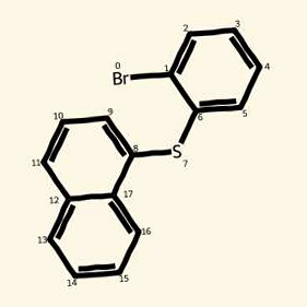 Brc1ccccc1Sc1cccc2ccccc12